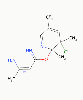 C/C(N)=C/C(=N)OC1(C)N=CC(C(F)(F)F)=CC1(C)Cl